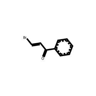 O=C(C=CBr)c1ccccc1